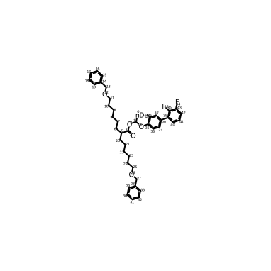 CCCCCCCCCCC(OC(=O)C(CCCCCCOCc1ccccc1)CCCCCCOCc1ccccc1)Oc1ccc(-c2cccc(F)c2F)cc1